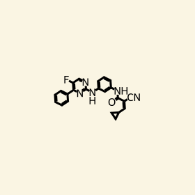 N#C/C(=C/C1CC1)C(=O)Nc1cccc(Nc2ncc(F)c(-c3ccccc3)n2)c1